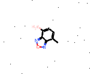 Bc1ccc(C)c2nonc12